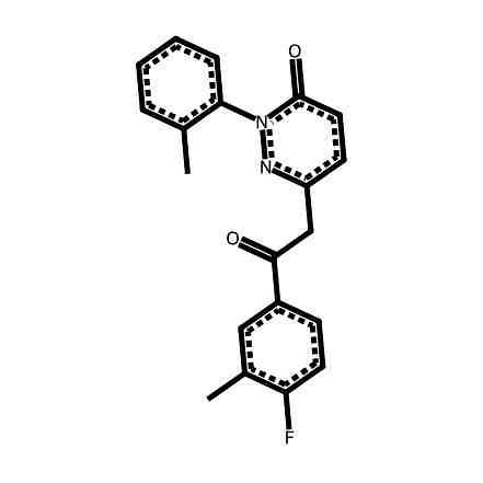 Cc1cc(C(=O)Cc2ccc(=O)n(-c3ccccc3C)n2)ccc1F